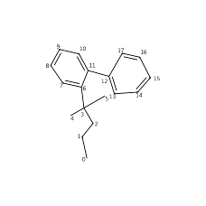 CCCC(C)(C)c1ccccc1-c1ccccc1